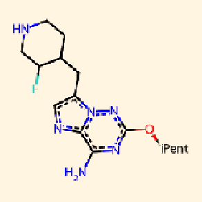 CCC[C@H](C)Oc1nc(N)c2ncc(CC3CCNCC3F)n2n1